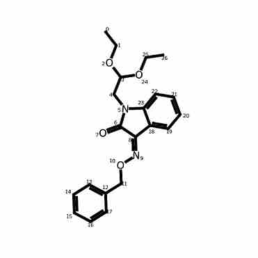 CCOC(CN1C(=O)C(=NOCc2ccccc2)c2ccccc21)OCC